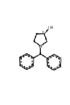 N#C[C@@H]1CCN(C(c2ccccc2)c2ccccc2)C1